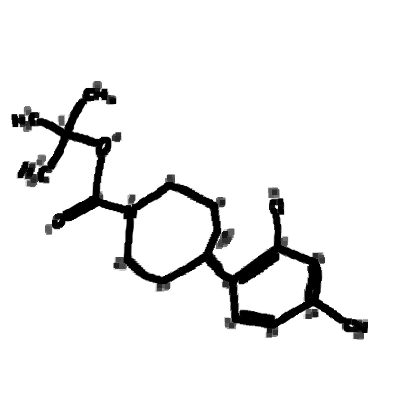 CC(C)(C)OC(=O)N1CCC(c2ccc(O)cc2Cl)CC1